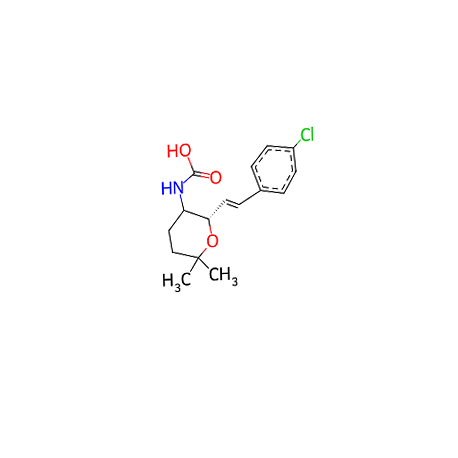 CC1(C)CCC(NC(=O)O)[C@H](C=Cc2ccc(Cl)cc2)O1